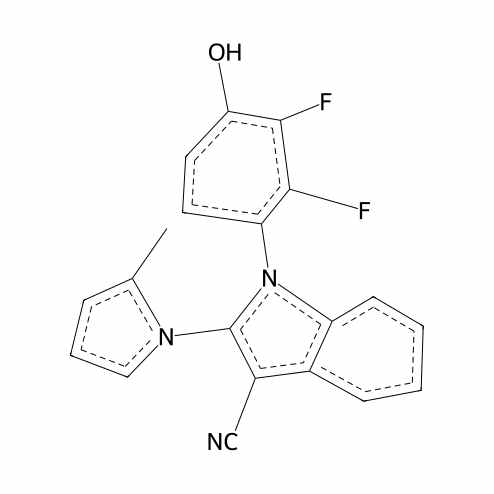 Cc1cccn1-c1c(C#N)c2ccccc2n1-c1ccc(O)c(F)c1F